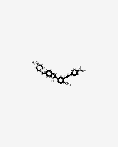 Cc1ccc(-c2nc3ccc(CN4CCN(C)CC4)cc3[nH]2)cc1C#Cc1ccc(NC(C)C)nn1